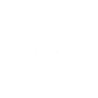 CCc1ccc(NS(=O)(=O)c2ccc3[nH]c(-c4ccsc4)nc3c2)cc1